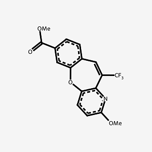 COC(=O)c1ccc2c(c1)Oc1ccc(OC)nc1C(C(F)(F)F)=C2